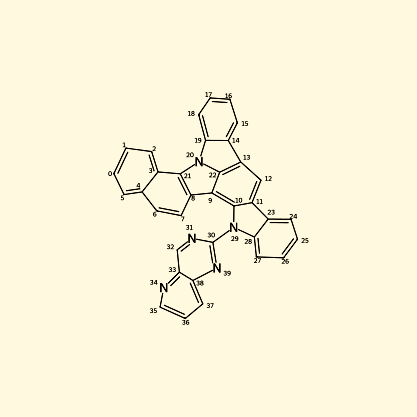 c1ccc2c(c1)ccc1c3c4c(cc5c6ccccc6n(c21)c53)c1ccccc1n4-c1ncc2ncccc2n1